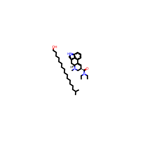 CC(C)CCCCCCCCCCCCCCCO.CCN(CC)C(=O)[C@@H]1C=C2c3cccc4[nH]cc(c34)C[C@H]2N(C)C1